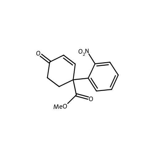 COC(=O)C1(c2ccccc2[N+](=O)[O-])C=CC(=O)CC1